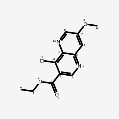 CCOC(=O)c1cnc2cc(OC)cnc2c1Cl